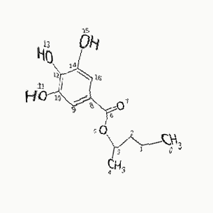 CCCC(C)OC(=O)c1cc(O)c(O)c(O)c1